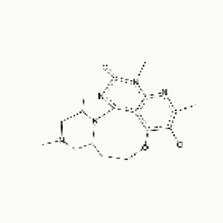 Cc1nc2c3c(nc(=O)n2C)N2C(C)CN(C)CC2CCOc3c1Cl